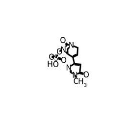 Cn1cnc(C2=CCN3CC2N(OS(=O)(=O)O)C3=O)cc1=O